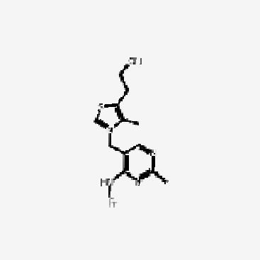 Cc1ncc(C[n+]2csc(CCO)c2C)c(NC(C)C)n1